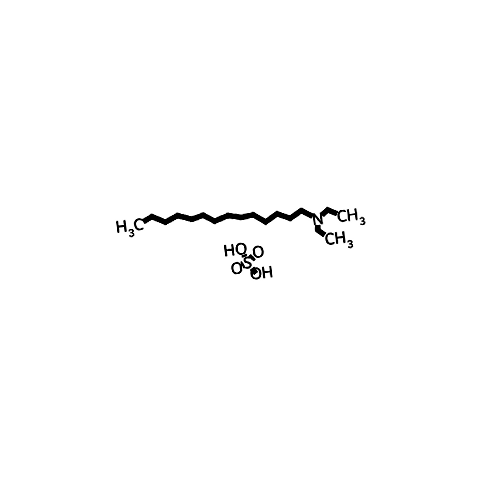 CCCCCCCCCCCCCCN(CC)CC.O=S(=O)(O)O